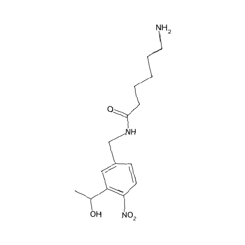 CC(O)c1cc(CNC(=O)CCCCCN)ccc1[N+](=O)[O-]